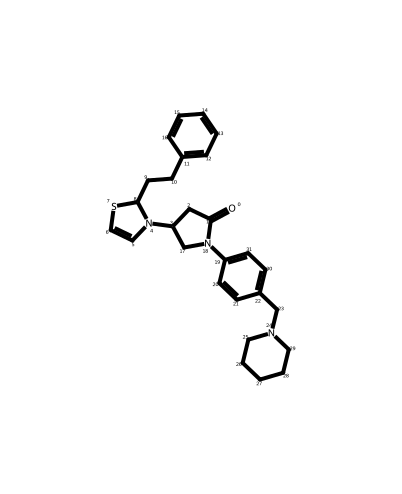 O=C1CC(N2C=CSC2CCc2ccccc2)CN1c1ccc(CN2CCCCC2)cc1